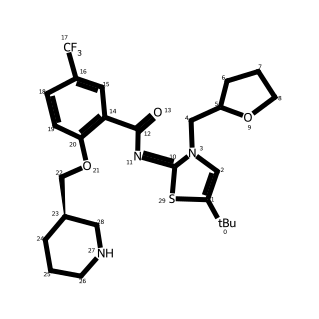 CC(C)(C)c1cn(CC2CCCO2)c(=NC(=O)c2cc(C(F)(F)F)ccc2OC[C@@H]2CCCNC2)s1